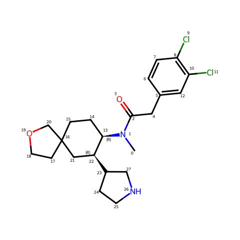 CN(C(=O)Cc1ccc(Cl)c(Cl)c1)[C@@H]1CCC2(CCOC2)C[C@@H]1C1CCNC1